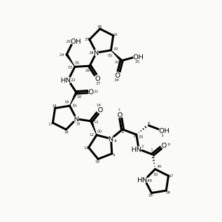 O=C(N[C@@H](CO)C(=O)N1CCC[C@H]1C(=O)N1CCC[C@H]1C(=O)N[C@@H](CO)C(=O)N1CCC[C@H]1C(=O)O)[C@@H]1CCCN1